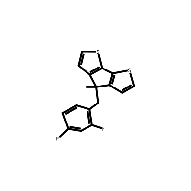 CC1(Cc2ccc(F)cc2F)c2ccsc2-c2sccc21